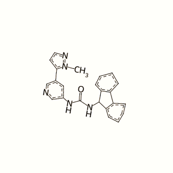 Cn1nccc1-c1cncc(NC(=O)NC2c3ccccc3-c3ccccc32)c1